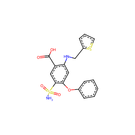 NS(=O)(=O)c1cc(C(=O)O)c(NCc2cccs2)cc1Oc1ccccc1